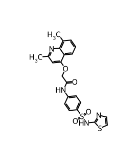 Cc1cc(OCC(=O)Nc2ccc(S(=O)(=O)Nc3nccs3)cc2)c2cccc(C)c2n1